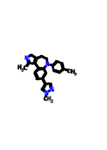 CC1=NCC2=C1c1ccc(-c3cnn(C)c3)cc1N(c1ccc(C)cc1)CC2